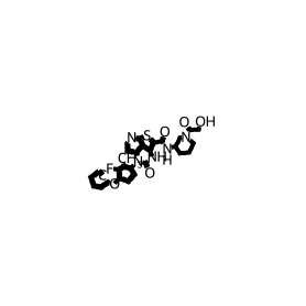 Cc1c(N2C(=O)Nc3c(C(=O)NC4CCCN(C(=O)CO)C4)sc4nccc2c34)ccc(Oc2ccccc2)c1F